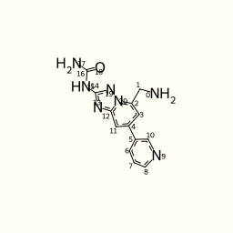 NCc1cc(-c2cccnc2)cc2nc(NC(N)=O)nn12